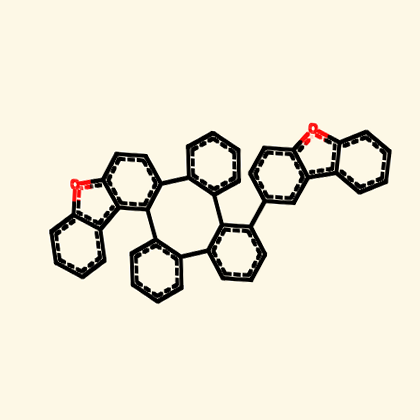 c1ccc2c(c1)-c1ccc3oc4ccccc4c3c1-c1ccccc1-c1cccc(-c3ccc4oc5ccccc5c4c3)c1-2